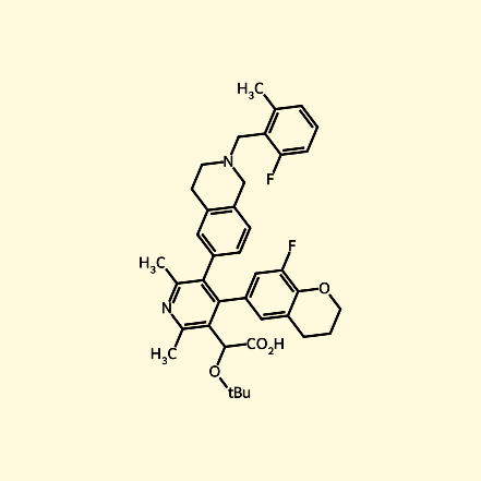 Cc1cccc(F)c1CN1CCc2cc(-c3c(C)nc(C)c(C(OC(C)(C)C)C(=O)O)c3-c3cc(F)c4c(c3)CCCO4)ccc2C1